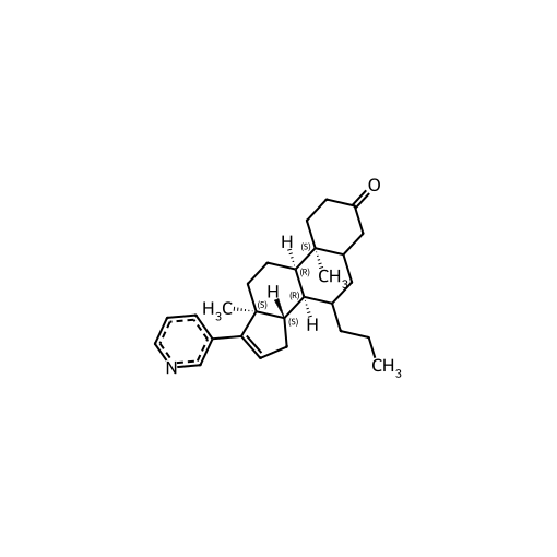 CCCC1CC2CC(=O)CC[C@]2(C)[C@@H]2CC[C@]3(C)C(c4cccnc4)=CC[C@H]3[C@H]12